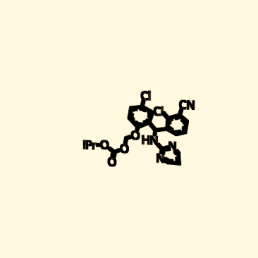 CC(C)OC(=O)OCOc1ccc(Cl)cc1C(Nc1ncccn1)c1cccc(C#N)c1Cl